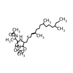 CCCC(C)CCCC(C)CCC/C(C)=C/CSCC(NC(=O)C(C)NC(C)=O)C(=O)NS(C)(=O)=O